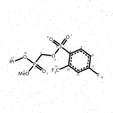 COP(=O)(COS(=O)(=O)c1ccc(F)cc1C(F)(F)F)OC(C)C